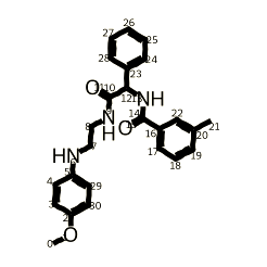 COc1ccc(NCCNC(=O)C(NC(=O)c2cccc(C)c2)c2ccccc2)cc1